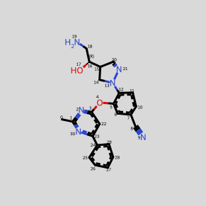 Cc1nc(Oc2cc(C#N)ccc2N2CC([C@@H](O)CN)C=N2)cc(-c2ccccc2)n1